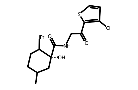 CC1CCC(C(C)C)[C@@](O)(C(=O)NCC(=O)c2sccc2Cl)C1